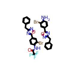 Nc1ccc(-c2nc(Cc3ccccc3)no2)cc1Br.O=C(Nc1ccc(-c2nc(Cc3ccccc3)no2)cc1Br)C(F)(F)F